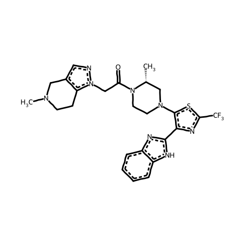 C[C@@H]1CN(c2sc(C(F)(F)F)nc2-c2nc3ccccc3[nH]2)CCN1C(=O)Cn1ncc2c1CCN(C)C2